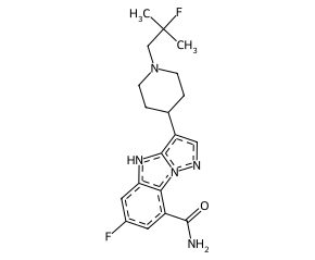 CC(C)(F)CN1CCC(c2cnn3c2[nH]c2cc(F)cc(C(N)=O)c23)CC1